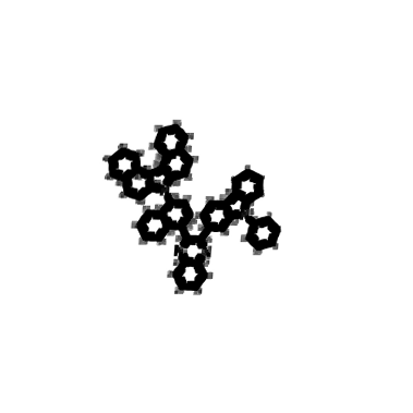 c1ccc(-n2c3ccccc3c3ccc(-c4nc5ccccc5nc4-c4ccc(-n5c6ccc7ccccc7c6c6c7ccccc7ccc65)c5ccccc45)cc32)cc1